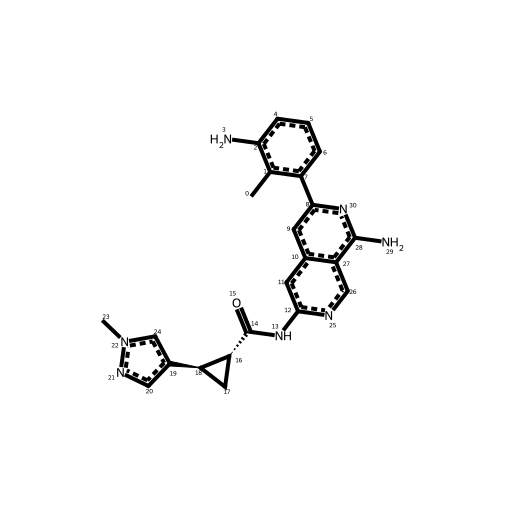 Cc1c(N)cccc1-c1cc2cc(NC(=O)[C@@H]3C[C@H]3c3cnn(C)c3)ncc2c(N)n1